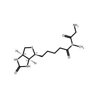 CN(C(=O)CN)C(=O)CCCC[C@@H]1SC[C@@H]2NC(=O)N[C@@H]21